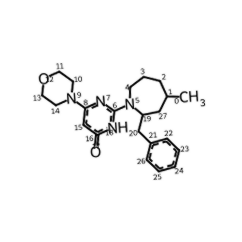 CC1CCCN(c2nc(N3CCOCC3)cc(=O)[nH]2)C(Cc2ccccc2)C1